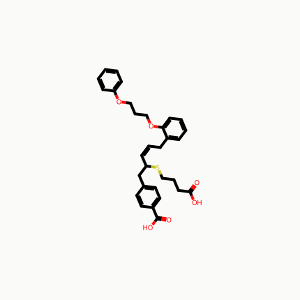 O=C(O)CCCSC(/C=C\Cc1ccccc1OCCCOc1ccccc1)Cc1ccc(C(=O)O)cc1